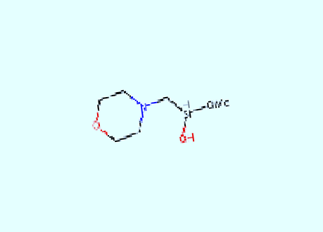 CO[SiH](O)CN1CCOCC1